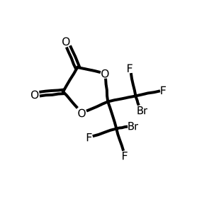 O=C1OC(C(F)(F)Br)(C(F)(F)Br)OC1=O